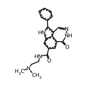 CN(C)CCNC(=O)c1cc2c3c(c(-c4ccccc4)[nH]c3c1)C=NNC2=O